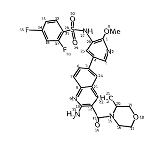 COc1ncc(-c2ccc3nc(N)c(C(=O)N4CCOCC4C)cc3c2)cc1NS(=O)(=O)c1ccc(F)cc1F